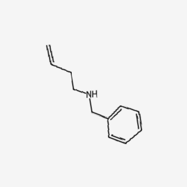 C=CCCNCc1ccccc1